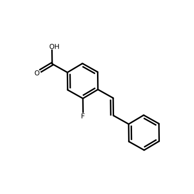 O=C(O)c1ccc(/C=C/c2ccccc2)c(F)c1